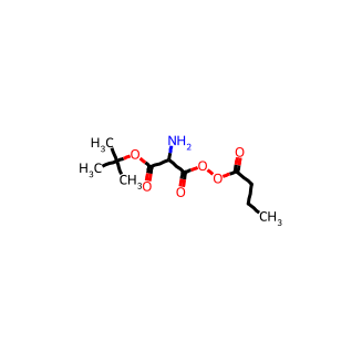 CCCC(=O)OOC(=O)C(N)C(=O)OC(C)(C)C